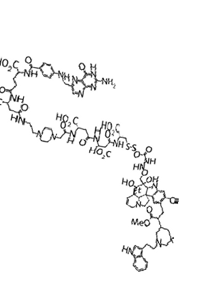 CC[C@]12C=CCN3CCC4(c5cc(C[C@H](C(=O)OC)C6CN(CCc7c[nH]c8ccccc78)CC(C)(C)C6)c(OC)cc5N(C)C4[C@@](O)(CONNC(=O)OSSC[C@H](NC(=O)C[C@H](NC(=O)C[C@H](NC(=O)CN4CCN(CCNC(=O)C[C@H](NC(=O)CC[C@H](NC(=O)c5ccc(NCc6cnc7nc(N)[nH]c(=O)c7n6)cc5)C(=O)O)C(=O)O)CC4)C(=O)O)C(=O)O)C(=O)O)[C@@H]1O)C32